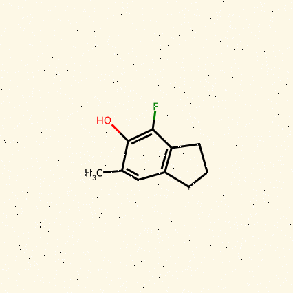 Cc1cc2c(c(F)c1O)CC[CH]2